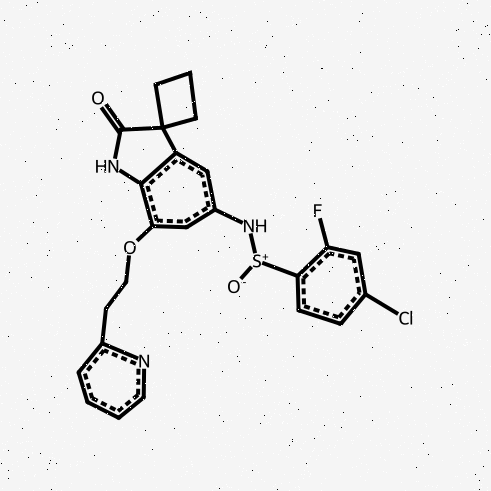 O=C1Nc2c(OCCc3ccccn3)cc(N[S+]([O-])c3ccc(Cl)cc3F)cc2C12CCC2